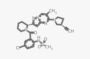 C#C[C@@H]1CCN(c2nc3cc([C@@H]4CCCCN4C(=O)c4cc(Cl)ccc4NS(C)(=O)=O)nn3cc2C)C1